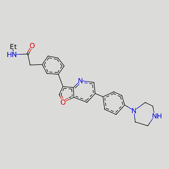 CCNC(=O)Cc1cccc(-c2coc3cc(-c4ccc(N5CCNCC5)cc4)cnc23)c1